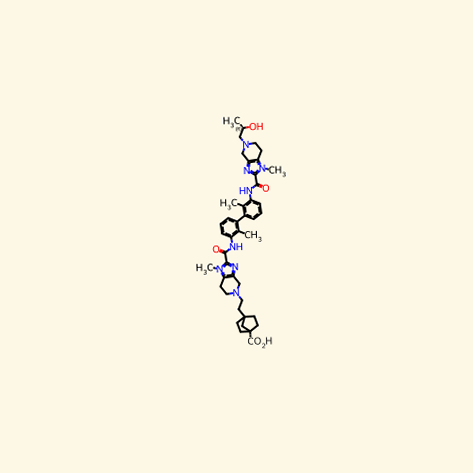 Cc1c(NC(=O)c2nc3c(n2C)CCN(CCC24CCC(C(=O)O)(CC2)C4)C3)cccc1-c1cccc(NC(=O)c2nc3c(n2C)CCN(C[C@@H](C)O)C3)c1C